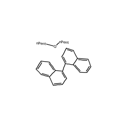 CCCCCOCCCCC.c1ccc2c(-c3cccc4ccccc34)cccc2c1